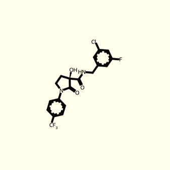 O=C(NCc1cc(F)cc(Cl)c1)[C@@]1(O)CCN(c2ccc(C(F)(F)F)cc2)C1=O